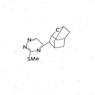 CSc1nncc(C2C3CC4CC(C3)CC2C4)n1